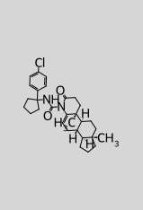 C[C@@]12CCC[C@H]1[C@@H]1CC=C3N(C(=O)NC4(c5ccc(Cl)cc5)CCCC4)C(=O)CC[C@]3(C)[C@H]1CC2